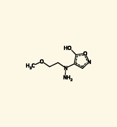 COCCN(N)c1cnoc1O